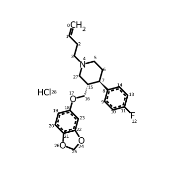 C=CCCN1CC[C@@H](c2ccc(F)cc2)[C@H](COc2ccc3c(c2)OCO3)C1.Cl